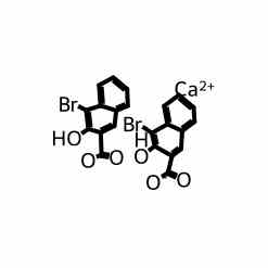 O=C([O-])c1cc2ccccc2c(Br)c1O.O=C([O-])c1cc2ccccc2c(Br)c1O.[Ca+2]